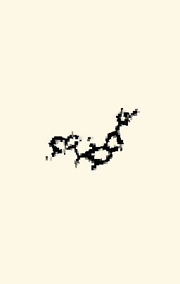 CCc1ccc2nnc(C(F)c3c(F)cc4ncc(-c5cnn(C)c5)cc4c3F)n2n1